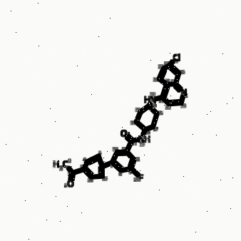 CC(=O)c1ccc(-c2cc(F)cc(C(=O)NC3CCC(Nc4ccnc5cc(Cl)ccc45)CC3)c2)cc1